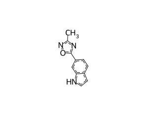 Cc1noc(-c2ccc3cc[nH]c3c2)n1